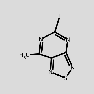 Cc1nc(I)nc2nsnc12